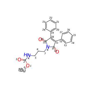 CC(C)(C)OC(=O)NCCCN1C(=O)C(c2ccccc2)=C(c2ccccc2)C1=O